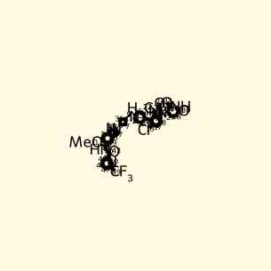 COc1cc2nn([C@H]3C[C@H](CN4CCC(c5c(Cl)ccc6c5n(C)c(=O)n6C5CCC(=O)NC5=O)CC4)C3)cc2cc1NC(=O)c1cccc(C(F)(F)F)n1